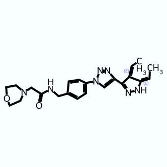 C/C=c1/c(-c2cn(-c3ccc(CNC(=O)CN4CCOCC4)cc3)nn2)n[nH]/c1=C/C